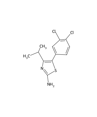 CC(C)c1nc(N)sc1-c1ccc(Cl)c(Cl)c1